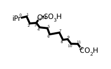 CC(C)CCC(CCCCCCCCC(=O)O)OS(=O)(=O)O